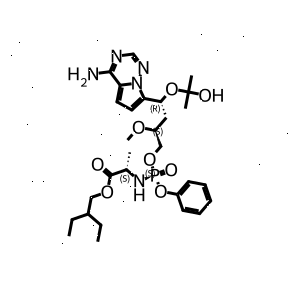 CCC(CC)COC(=O)[C@H](C)N[P@](=O)(OC[C@H](C[C@@H](OC(C)(C)O)c1ccc2c(N)ncnn12)OC)Oc1ccccc1